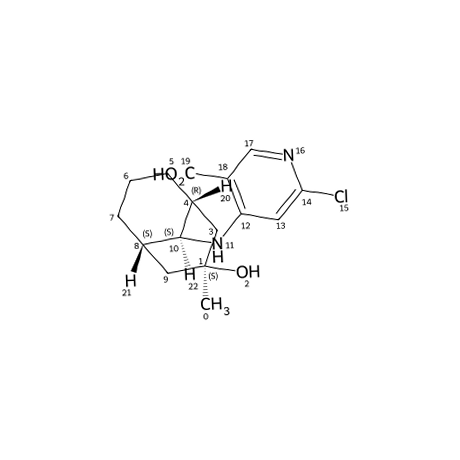 C[C@@]1(O)C[C@H]2CCC[C@@H](C1)[C@@H]2Nc1cc(Cl)ncc1C(=O)O